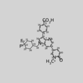 Cn1cc(-c2cnc3c(-c4ccc(C(=O)O)cc4)cn(CC4CCC(F)(F)CC4)c3c2)ccc1=O